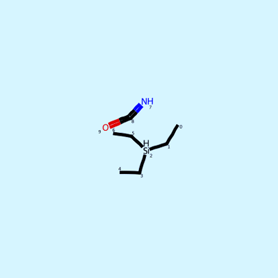 CC[SiH](CC)CC.N=C=O